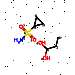 CCC(O)O.NS(=O)(=O)C1CC1